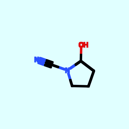 N#CN1CCCC1O